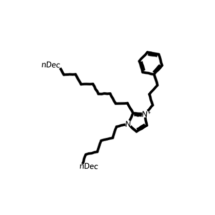 CCCCCCCCCCCCCCCCCCc1n(CCCCCCCCCCCCCCC)cc[n+]1CCCc1ccccc1